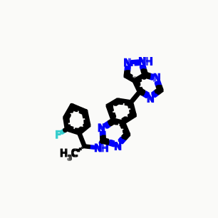 C[C@@H](Nc1ncc2cc(-c3ncnc4[nH]ncc34)ccc2n1)c1ccccc1F